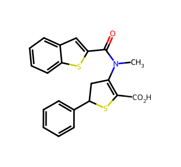 CN(C(=O)c1cc2ccccc2s1)C1=C(C(=O)O)SC(c2ccccc2)C1